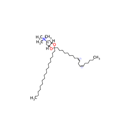 CCCCC/C=C\C/C=C\CCCCCCCCC1(CCCCCCCCCCCCCCCCCC)O[C@H]2C[C@H]([N+](C)(C)C)C[C@H]2O1